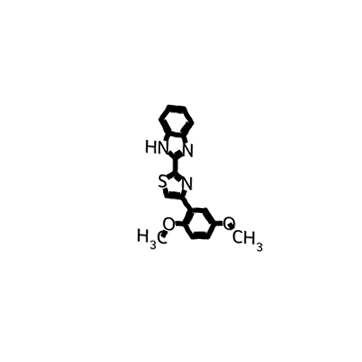 COc1ccc(OC)c(-c2csc(-c3nc4ccccc4[nH]3)n2)c1